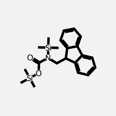 C[Si](C)(C)OC(=O)N(CC1c2ccccc2-c2ccccc21)[Si](C)(C)C